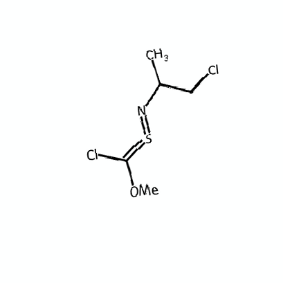 COC(Cl)=S=NC(C)CCl